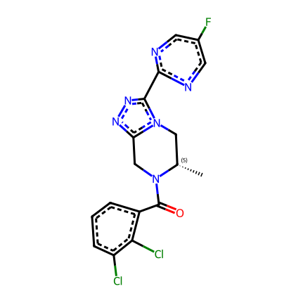 C[C@H]1Cn2c(nnc2-c2ncc(F)cn2)CN1C(=O)c1cccc(Cl)c1Cl